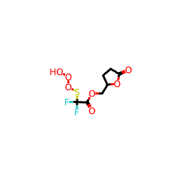 O=C1CCC(COC(=O)C(F)(F)SOOO)O1